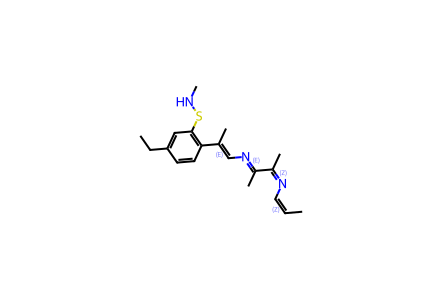 C\C=C/N=C(C)\C(C)=N\C=C(/C)c1ccc(CC)cc1SNC